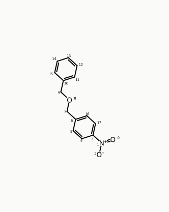 O=[N+]([O-])c1ccc(COCc2ccccc2)cc1